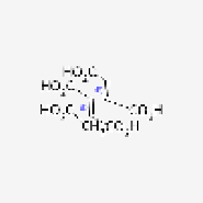 CC(=O)O.O=C(O)/C=C/C(=O)O.O=C(O)/C=C/C(=O)O